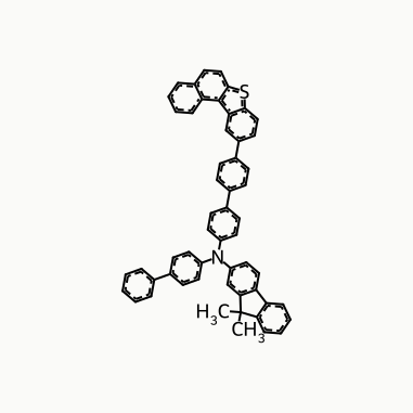 CC1(C)c2ccccc2-c2ccc(N(c3ccc(-c4ccccc4)cc3)c3ccc(-c4ccc(-c5ccc6sc7ccc8ccccc8c7c6c5)cc4)cc3)cc21